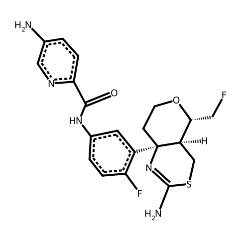 NC1=N[C@@]2(c3cc(NC(=O)c4ccc(N)cn4)ccc3F)CCO[C@H](CF)[C@H]2CS1